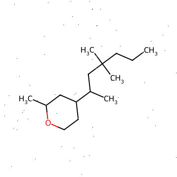 CCCC(C)(C)CC(C)C1CCOC(C)C1